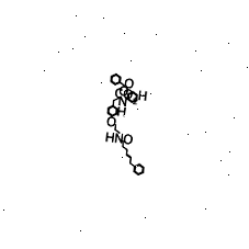 O=C(CCC=CCc1ccccc1)NCCCOc1ccc(CC(Nc2ccccc2OC(=O)c2ccccc2)C(=O)O)cc1